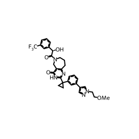 COCCn1cc(-c2cccc(C3(c4nc5c(c(=O)[nH]4)CN(C(=O)[C@H](O)c4cccc(C(F)(F)F)c4)CCC5)CC3)c2)cn1